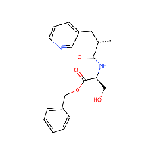 C[C@@H](Cc1cccnc1)C(=O)N[C@@H](CO)C(=O)OCc1ccccc1